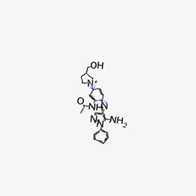 CC(=O)NC1=CC(=[N+]2\CCC(CO)C2)/C=CC/1=N/c1cnn(-c2ccccc2)c1N